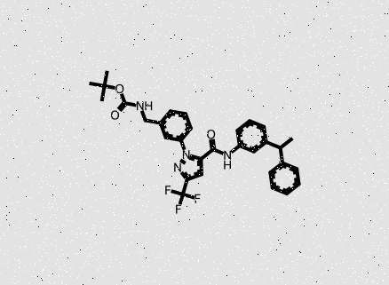 CC(c1ccccc1)c1cccc(NC(=O)c2cc(C(F)(F)F)nn2-c2cccc(CNC(=O)OC(C)(C)C)c2)c1